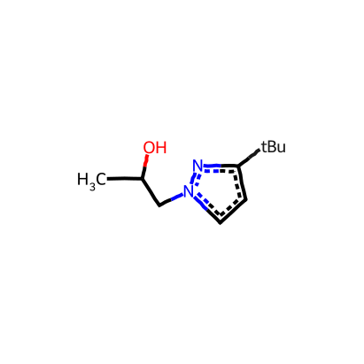 CC(O)Cn1ccc(C(C)(C)C)n1